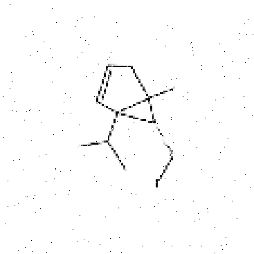 CC(C)C12C=CCC1(C)[C@@H]2CI